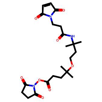 CC(C)(CCOC(C)(C)CCC(=O)ON1C(=O)CCC1=O)NC(=O)CCN1C(=O)C=CC1=O